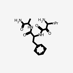 CCCC(N)C(=O)C(=O)NC(Cc1ccccc1)C(=O)NC(C)C(N)=O